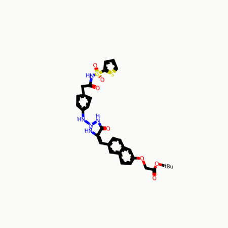 CC(C)(C)OC(=O)COc1ccc2cc(C=C3NN(Nc4ccc(CC(=O)NS(=O)(=O)c5cccs5)cc4)NC3=O)ccc2c1